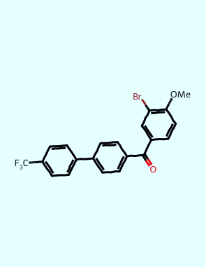 COc1ccc(C(=O)c2ccc(-c3ccc(C(F)(F)F)cc3)cc2)cc1Br